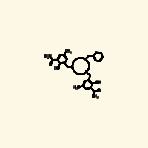 Cc1cc(CN2CCCN(Cc3ccccc3)CCN(Cc3cc(C)cc(C(N)=O)c3O)CCC2)c(O)c(C(N)=O)c1